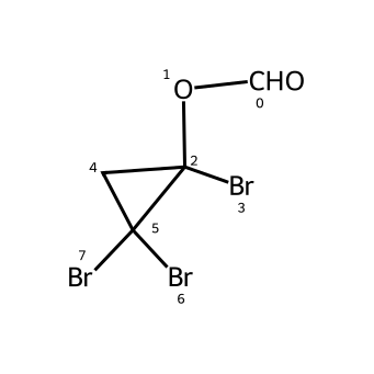 O=COC1(Br)CC1(Br)Br